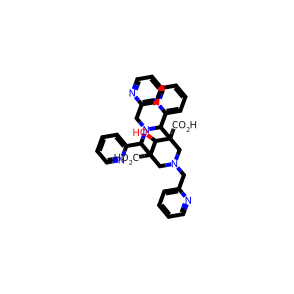 O=C(O)C12CN(Cc3ccccn3)CC(C(=O)O)(C(c3ccccn3)N(Cc3ccccn3)C1c1ccccn1)C2O